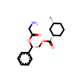 C[C@@H]1CCC[C@H](C(=O)OC[C@@H](OC(=O)CN)c2ccccc2)C1